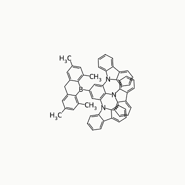 Cc1cc(C)c2c(c1)Cc1cc(C)cc(C)c1B2c1cc(-n2c3ccccc3c3ccccc32)c(-n2c3ccccc3c3ccccc32)c(-n2c3ccccc3c3ccccc32)c1